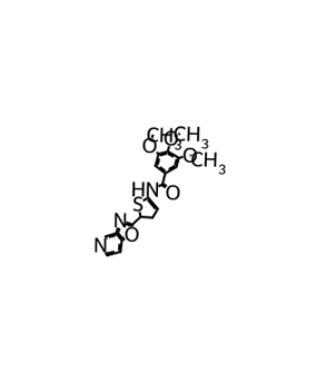 COc1cc(C(=O)NC2=CCC(c3nc4cnccc4o3)S2)cc(OC)c1OC